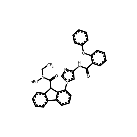 CCCCN(CC(F)(F)F)C(=O)C1c2ccccc2-c2cccc(-n3cnc(NC(=O)c4ccccc4Oc4ccccc4)c3)c21